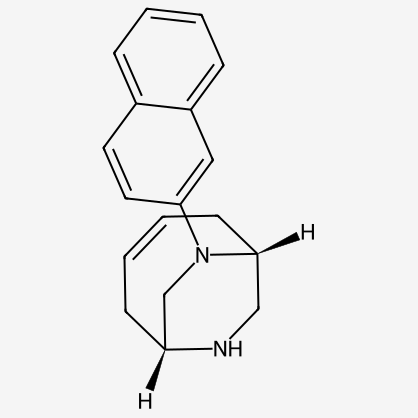 C1=C\C[C@@H]2CN[C@H](C/1)CN2c1ccc2ccccc2c1